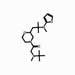 CN(CC(=O)N1CCOC(CC(C)(C)N(C)c2ccco2)C1)C(C)(C)C